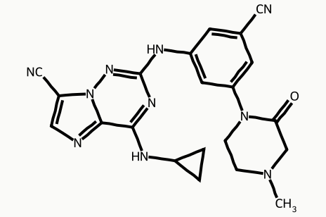 CN1CCN(c2cc(C#N)cc(Nc3nc(NC4CC4)c4ncc(C#N)n4n3)c2)C(=O)C1